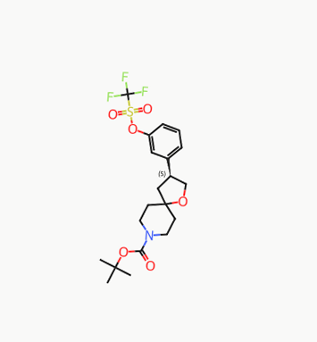 CC(C)(C)OC(=O)N1CCC2(CC1)C[C@@H](c1cccc(OS(=O)(=O)C(F)(F)F)c1)CO2